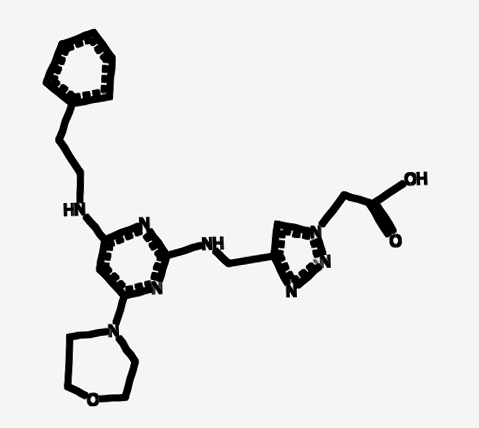 O=C(O)Cn1cc(CNc2nc(NCCc3ccccc3)cc(N3CCOCC3)n2)nn1